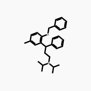 Cc1ccc(OCc2ccccc2)c(C(CCN(C(C)C)C(C)C)c2ccccc2)c1